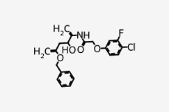 C=C(CC(O)C(=C)NC(=O)COc1ccc(Cl)c(F)c1)OCc1ccccc1